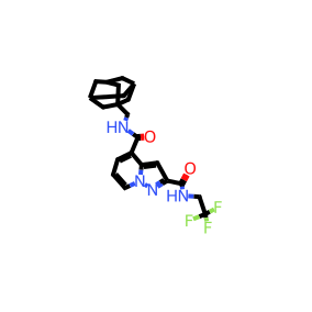 O=C(NCC(F)(F)F)c1cc2c(C(=O)NCC34CC5CC(CC(C5)C3)C4)cccn2n1